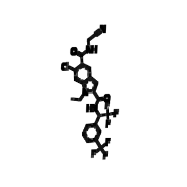 CCn1c(C(=O)NC(c2cccc(C(F)(F)F)c2)C(F)(F)F)cc2cc(C(=O)NCC#N)c(Cl)cc21